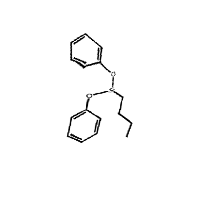 CCCC[Si](Oc1ccccc1)Oc1ccccc1